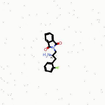 N[C@H](Cc1ccccc1F)CN1C(=O)c2ccccc2C1=O